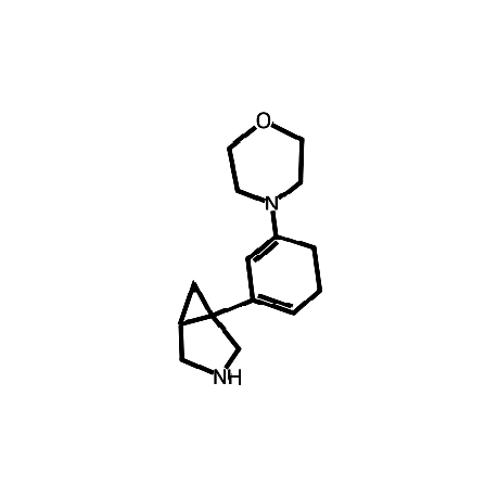 C1=C(N2CCOCC2)CCC=C1C12CNCC1C2